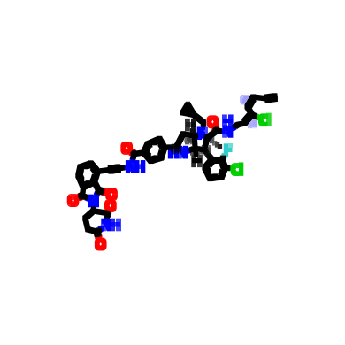 C#C/C=C\C(Cl)=C/CNC(=O)[C@@]1(C)[C@@H](c2cccc(Cl)c2F)[C@@H]2N[C@@H](c3ccc(C(=O)NC#Cc4cccc5c4C(=O)N(C4CCC(=O)NC4=O)C5=O)cc3)C[C@@H]2N1CC1CC1